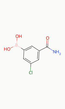 NC(=O)c1cc(Cl)cc(B(O)O)c1